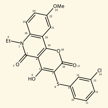 CCn1c(=O)c2c(O)c(Sc3cccc(Cl)c3)c(=O)oc2c2cc(OC)ccc21